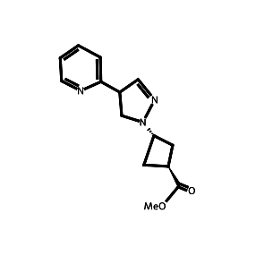 COC(=O)[C@H]1C[C@H](N2CC(c3ccccn3)C=N2)C1